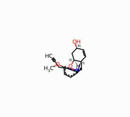 C#CCN1CC[C@@]23C=C[C@H](O)C[C@@H]2Oc2c(OC)ccc(c23)C1